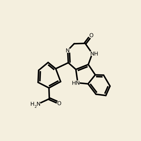 NC(=O)c1cccc(C2=NCC(=O)Nc3c2[nH]c2ccccc32)c1